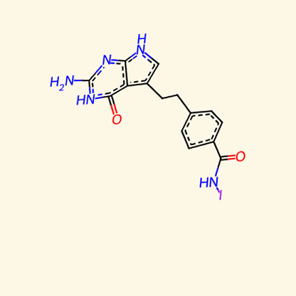 Nc1nc2[nH]cc(CCc3ccc(C(=O)NI)cc3)c2c(=O)[nH]1